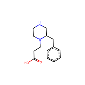 O=C(O)CCN1CCNCC1Cc1ccccc1